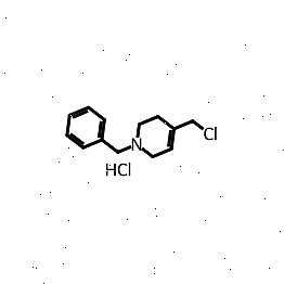 Cl.ClCC1=CCN(Cc2ccccc2)CC1